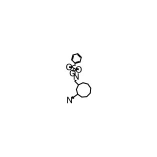 N#CC1CCCCCCC(/C=N/OS(=O)(=O)c2ccccc2)C1